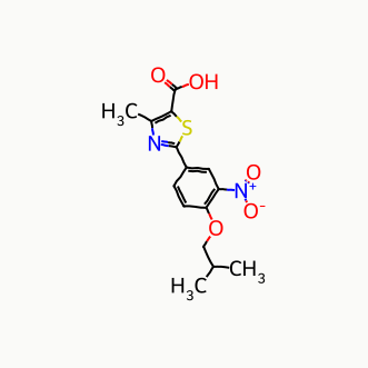 Cc1nc(-c2ccc(OCC(C)C)c([N+](=O)[O-])c2)sc1C(=O)O